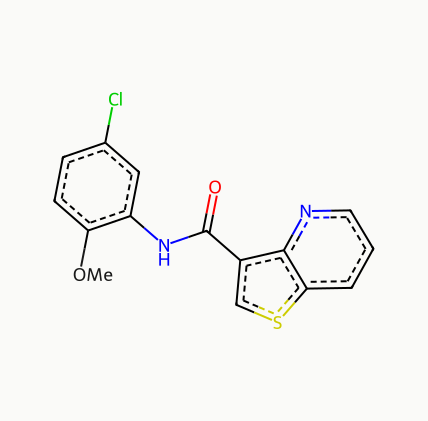 COc1ccc(Cl)cc1NC(=O)c1csc2cccnc12